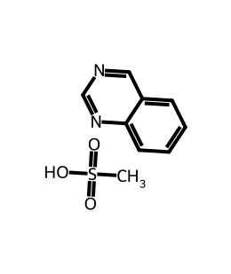 CS(=O)(=O)O.c1ccc2ncncc2c1